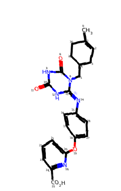 CC1=CCC(Cn2c(=O)[nH]c(=O)[nH]/c2=N\c2ccc(Oc3cccc(C(=O)O)n3)cc2)CC1